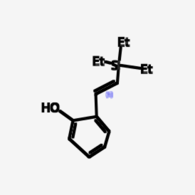 CC[Si](/C=C/c1ccccc1O)(CC)CC